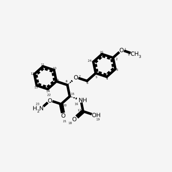 COc1ccc(CO[C@@H](c2ccccc2)[C@H](NC(=O)O)C(=O)ON)cc1